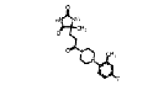 Cc1cc(F)ccc1N1CCN(C(=O)CCC2(C)NC(=O)NC2=O)CC1